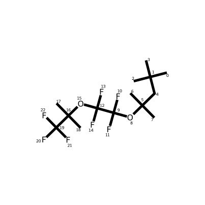 CC(C)(C)CC(C)(C)OC(F)(F)C(F)(F)OC(C)(C)C(F)(F)F